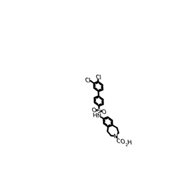 O=C(O)N1CCc2ccc(NS(=O)(=O)c3ccc(-c4ccc(Cl)c(Cl)c4)cc3)cc2CC1